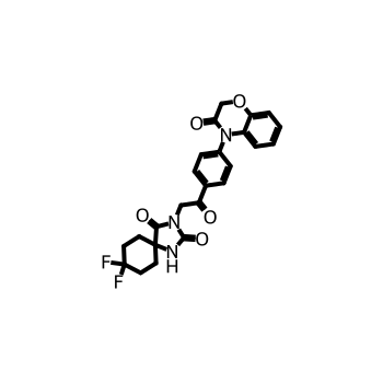 O=C(CN1C(=O)NC2(CCC(F)(F)CC2)C1=O)c1ccc(N2C(=O)COc3ccccc32)cc1